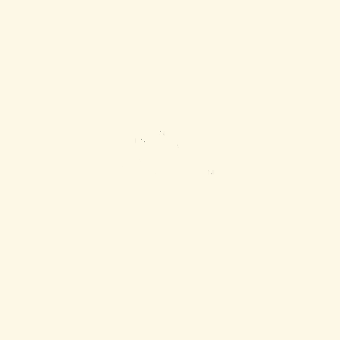 Nc1cccc2c(=O)[nH][nH]c(=O)c12.[KH]